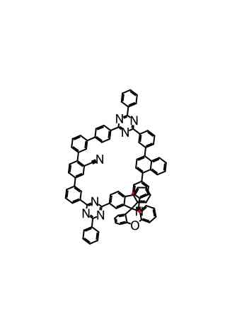 N#Cc1ccc(-c2ccc(-c3cccc(-c4nc(-c5ccccc5)nc(-c5ccc(-c6cccc(-c7ccc(-c8cccc(-c9nc(-c%10ccccc%10)nc(-c%10ccc%11c(c%10)C%10(c%12ccccc%12Oc%12ccccc%12%10)c%10ccccc%10-%11)n9)c8)cc7C#N)c6)cc5)n4)c3)c3ccccc23)cc1